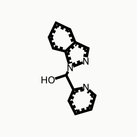 OC(c1ccccn1)n1ncc2ccccc21